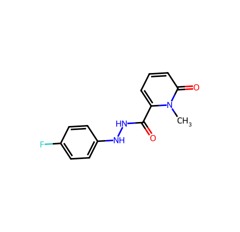 Cn1c(C(=O)NNc2ccc(F)cc2)cccc1=O